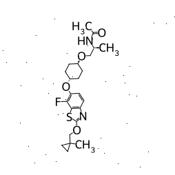 CC(=O)N[C@@H](C)CO[C@H]1CC[C@H](Oc2ccc3nc(OCC4(C)CC4)sc3c2F)CC1